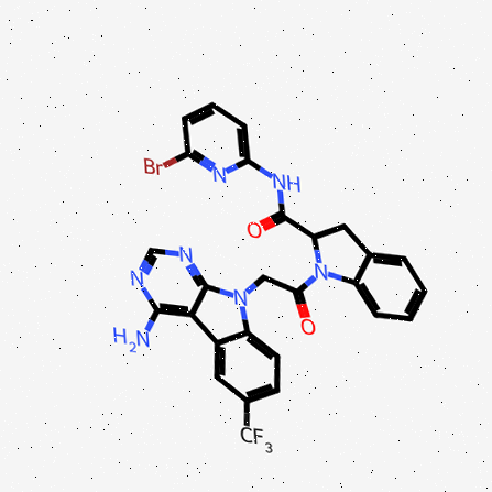 Nc1ncnc2c1c1cc(C(F)(F)F)ccc1n2CC(=O)N1c2ccccc2CC1C(=O)Nc1cccc(Br)n1